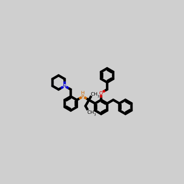 CCC(C)(Pc1ccccc1CN1CCCCC1)c1cccc(Cc2ccccc2)c1OCc1ccccc1